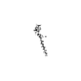 C=C(C)C(=O)OC(C)[N+](C)(C)CC(=O)OCCCCCCCCCCCCC.[Cl-]